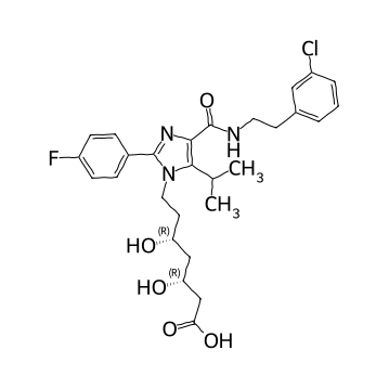 CC(C)c1c(C(=O)NCCc2cccc(Cl)c2)nc(-c2ccc(F)cc2)n1CC[C@@H](O)C[C@@H](O)CC(=O)O